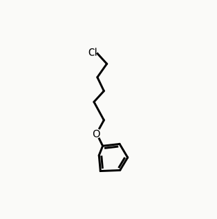 ClCCCCCOc1ccccc1